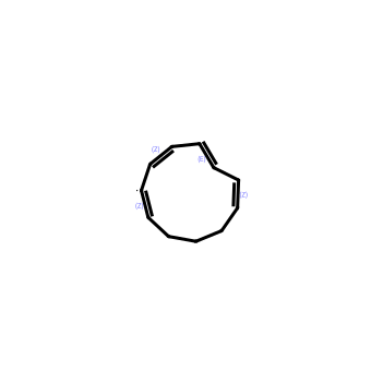 [C]1=C/CCC\C=C/C=C/C=C\1